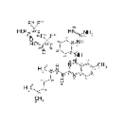 Cc1ccc2nc(C(=O)NC(C)CCCC(C)C)nc(NC3CCCCC3NC(=N)N)c2c1.O=C(O)C(F)(F)F.O=C(O)C(F)(F)F